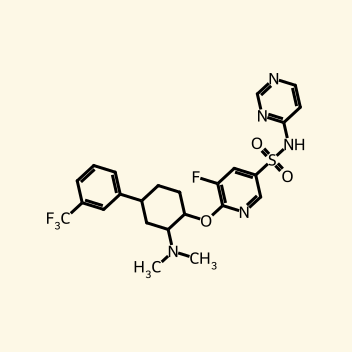 CN(C)C1CC(c2cccc(C(F)(F)F)c2)CCC1Oc1ncc(S(=O)(=O)Nc2ccncn2)cc1F